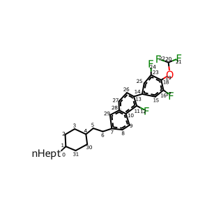 CCCCCCCC1CCC(CCc2ccc3c(F)c(-c4cc(F)c(OC(F)F)c(F)c4)ccc3c2)CC1